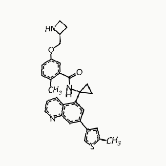 Cc1cc(-c2cc(C3(NC(=O)c4cc(OC[C@@H]5CCN5)ccc4C)CC3)c3cccnc3c2)cs1